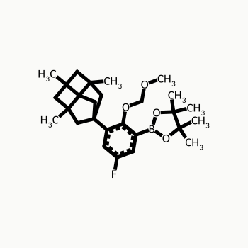 COCOc1c(B2OC(C)(C)C(C)(C)O2)cc(F)cc1C12CC3(C)CC4(C)CC(C)(C1)C34C2